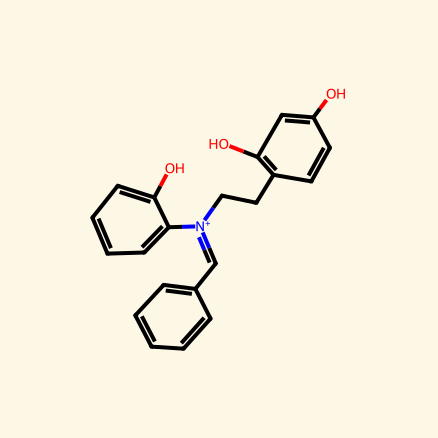 Oc1ccc(CC[N+](=Cc2ccccc2)c2ccccc2O)c(O)c1